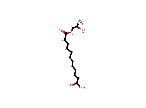 CCCCCCC(O)CCCCCCCCCCC(=O)OCC(C)O